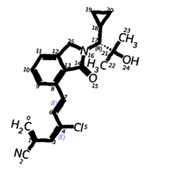 C=C(C#N)/C=C(Cl)\C=C\c1cccc2c1C(=O)N([C@H](C1CC1)C(C)(C)O)C2